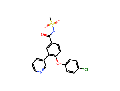 CS(=O)(=O)NC(=O)c1ccc(Oc2ccc(Cl)cc2)c(-c2cccnc2)c1